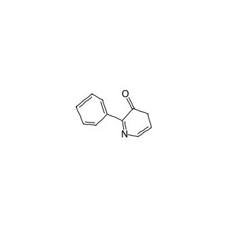 O=C1CC=CN=C1c1ccccc1